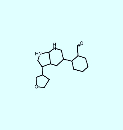 O=CC1CCCCC1C1CNC2NCC(C3CCOC3)C2C1